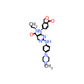 C=CCn1c(=O)c2cnc(Nc3ccc(N4CCN(C)CC4)cc3)nc2n1-c1ccc2c(c1)COC2=O